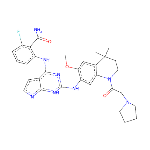 COc1cc2c(cc1Nc1nc(Nc3cccc(F)c3C(N)=O)c3ccnc-3[nH]1)N(C(=O)CN1CCCC1)CCC2(C)C